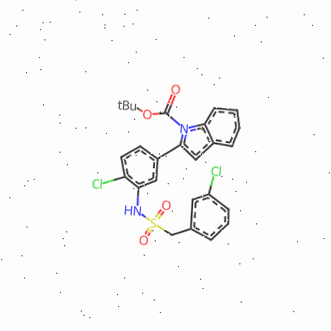 CC(C)(C)OC(=O)n1c(-c2ccc(Cl)c(NS(=O)(=O)Cc3cccc(Cl)c3)c2)cc2ccccc21